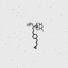 CCCC(CCCC1CCC(CCCC2CC2)CC1)N(C)C